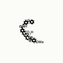 COc1ccc(S(=O)(=O)N2CCC(CN(Cc3ccc(C(=O)NCc4ccc(Oc5ccccc5)cc4)cc3)C(=O)C(=O)O)CC2)cc1